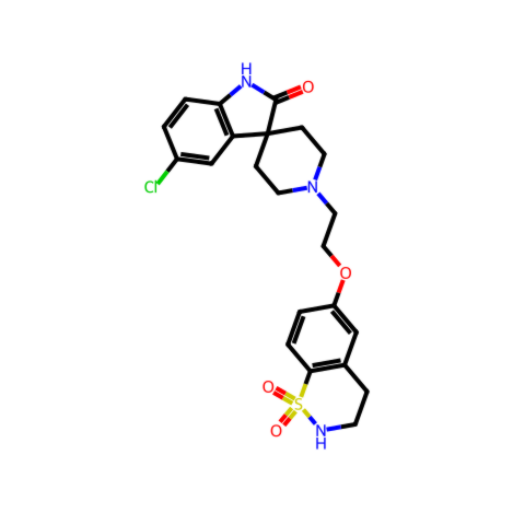 O=C1Nc2ccc(Cl)cc2C12CCN(CCOc1ccc3c(c1)CCNS3(=O)=O)CC2